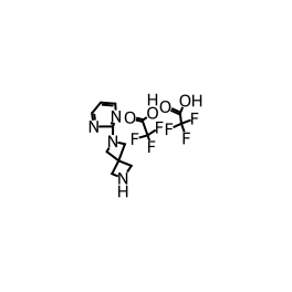 O=C(O)C(F)(F)F.O=C(O)C(F)(F)F.c1cnc(N2CC3(CNC3)C2)nc1